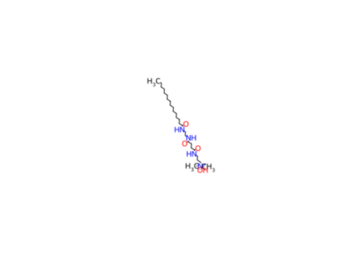 CCCCCCCCCCCCCCCC(=O)NCCNC(=O)CCC(=O)NCCC[N+](C)(C)O